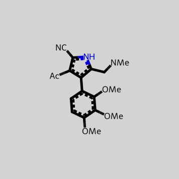 CNCc1[nH]c(C#N)c(C(C)=O)c1-c1ccc(OC)c(OC)c1OC